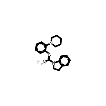 NC(=Nc1ccccc1N1CCCCC1)N1CCc2ccccc21